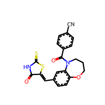 N#Cc1ccc(C(=O)N2CCCOc3ccc(C=C4SC(=S)NC4=O)cc32)cc1